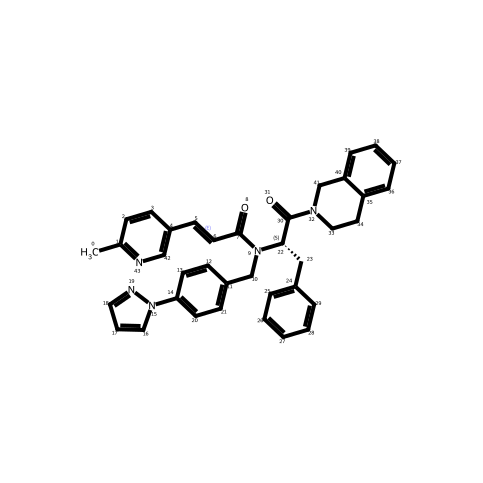 Cc1ccc(/C=C/C(=O)N(Cc2ccc(-n3cccn3)cc2)[C@@H](Cc2ccccc2)C(=O)N2CCc3ccccc3C2)cn1